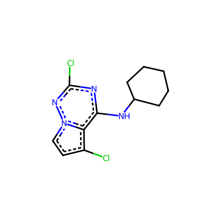 Clc1nc(NC2CCCCC2)c2c(Cl)ccn2n1